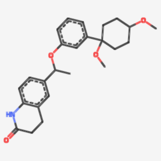 COC1CCC(OC)(c2cccc(OC(C)c3ccc4c(c3)CCC(=O)N4)c2)CC1